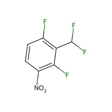 O=[N+]([O-])c1ccc(F)c(C(F)F)c1F